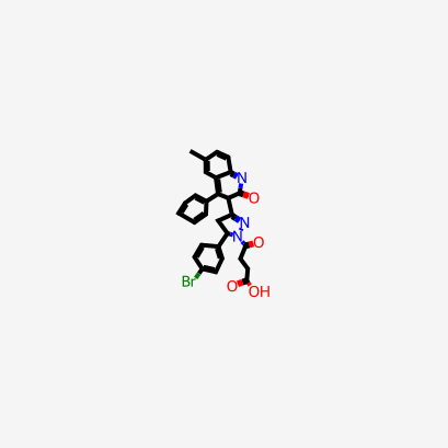 Cc1ccc2c(c1)=C(c1ccccc1)C(C1=NN(C(=O)CCC(=O)O)C(c3ccc(Br)cc3)C1)C(=O)N=2